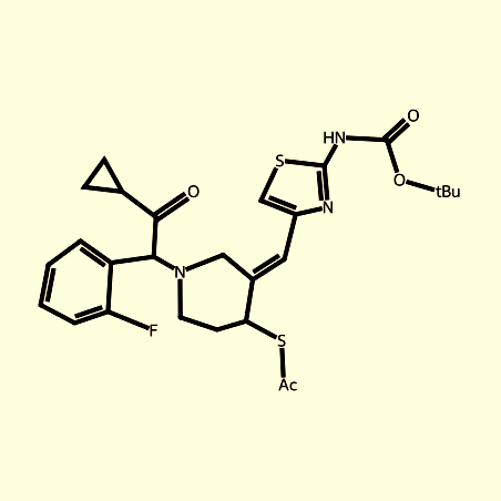 CC(=O)SC1CCN(C(C(=O)C2CC2)c2ccccc2F)CC1=Cc1csc(NC(=O)OC(C)(C)C)n1